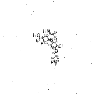 N=C(c1cc(C(=O)O)c(F)cc1Nc1cnc(OCCCC(F)(F)F)c(Cl)c1)C1CC1